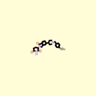 CC(C)(C)c1ccc(CN2CCC(c3ccc4c(c3)CN(C3CCC(=O)NC3=O)C4=O)CC2)cc1